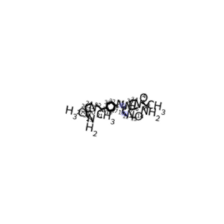 CC(N)C(=O)N1CCN(C(/C=C\NC=O)=N/c2ccc(C(C)CN3CCC(C)(CN)C3)cc2)CC1